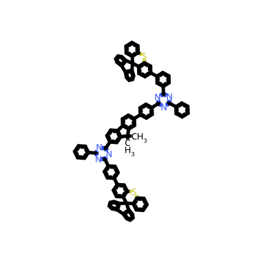 CC1(C)c2cc(-c3ccc(-c4nc(-c5ccccc5)nc(-c5cccc(-c6ccc7c(c6)Sc6ccccc6C76c7ccccc7-c7ccccc76)c5)n4)cc3)ccc2-c2ccc(-c3nc(-c4ccccc4)nc(-c4ccc(-c5ccc6c(c5)Sc5ccccc5C65c6ccccc6-c6ccccc65)cc4)n3)cc21